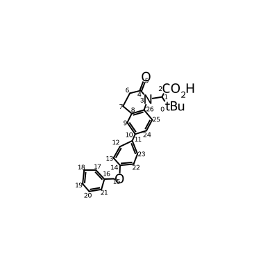 CC(C)(C)C(C(=O)O)N1C(=O)CCc2cc(-c3ccc(Oc4ccccc4)cc3)ccc21